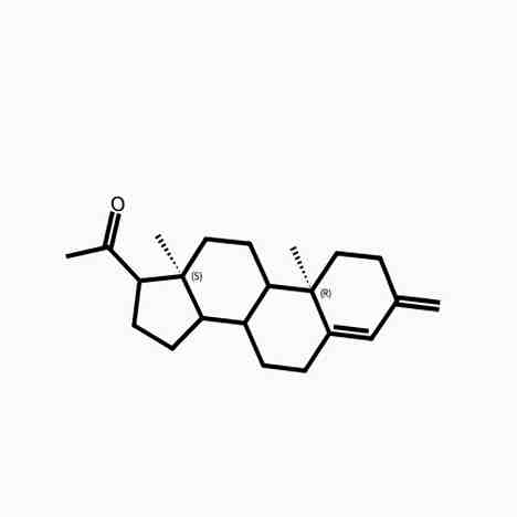 C=C1C=C2CCC3C4CCC(C(C)=O)[C@@]4(C)CCC3[C@@]2(C)CC1